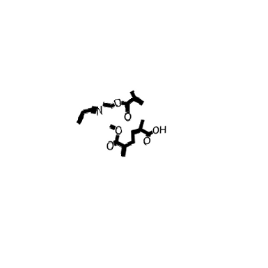 C=C(C)C(=O)OCC.C=C(CC=C(C)C(=O)O)C(=O)OC.C=CC#N